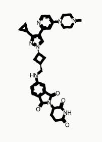 CN1CCN(c2ccnc(-c3cn([C@H]4C[C@H](CNc5ccc6c(c5)C(=O)N(C5CCC(=O)NC5=O)C6=O)C4)nc3C3CC3)c2)CC1